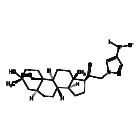 COC[C@]12CC[C@@](C)(O)C[C@@H]1CC[C@H]1[C@@H]3CC[C@H](C(=O)Cn4cc([S+]([O-])I)cn4)[C@@]3(C)CC[C@@H]12